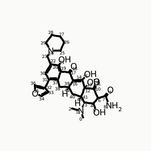 CN(C)[C@@H]1C(O)C(C(N)=O)C(=O)[C@@]2(O)C(O)=C3C(=O)c4c(O)c(CN5CCCCC5)cc(-c5ccoc5)c4C[C@H]3C[C@@H]12